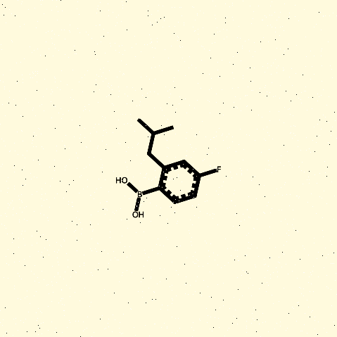 CC(C)Cc1cc(F)ccc1B(O)O